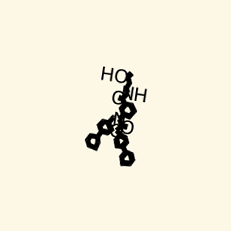 C=C(O)CCNC(=O)c1cccc(N(Cc2ccc(C3CCCCC3)cc2)C(=O)Oc2ccc(-c3ccccc3)cc2)c1